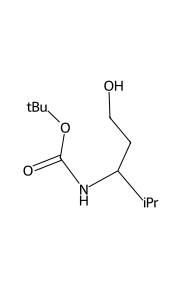 CC(C)C(CCO)NC(=O)OC(C)(C)C